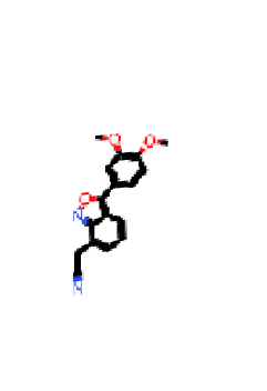 COc1ccc(-c2onc3c(CC#N)cccc23)cc1OC